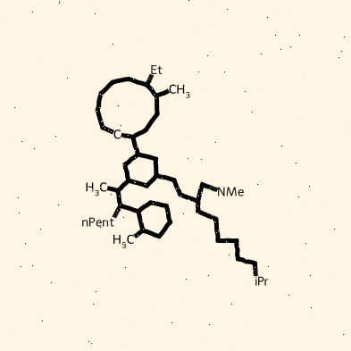 CCCCCC(C(C)C1CC(CCC(CCCCCCC(C)C)CNC)CC(C2CCCCCCC(CC)C(C)CC2)C1)C1CCCCC1C